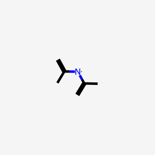 C=C(C)[N]C(=C)C